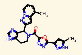 Cc1cc(-c2nnc(C(=O)N3CCc4[nH]cnc4C3c3cc4c(C)cccn4n3)o2)n[nH]1